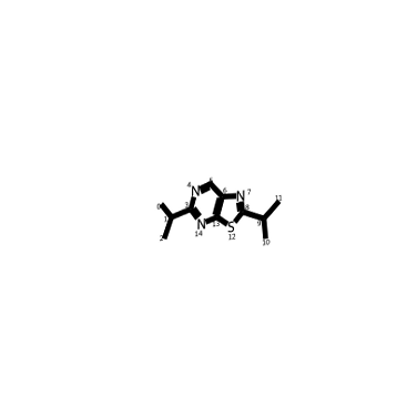 CC(C)c1ncc2nc(C(C)C)sc2n1